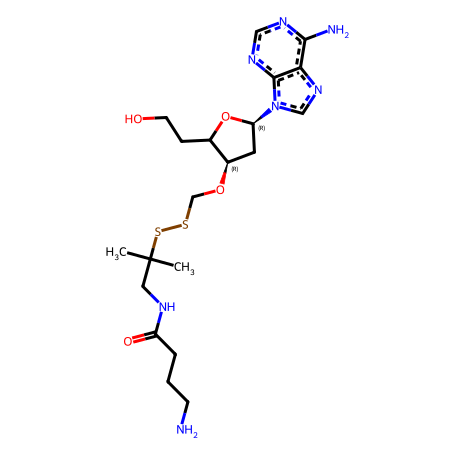 CC(C)(CNC(=O)CCCN)SSCO[C@@H]1C[C@H](n2cnc3c(N)ncnc32)OC1CCO